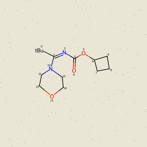 CC(C)(C)/C(=N/C(=O)OC1CCC1)N1CCOCC1